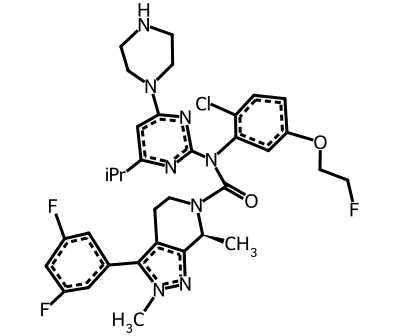 CC(C)c1cc(N2CCNCC2)nc(N(C(=O)N2CCc3c(nn(C)c3-c3cc(F)cc(F)c3)[C@@H]2C)c2cc(OCCF)ccc2Cl)n1